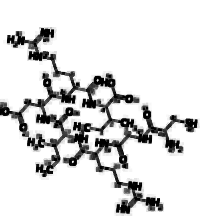 CCC(C)C(NC(=O)C(CCCNC(=N)N)NC(=O)C(CC(=O)O)NC(=O)C(NC(=O)C(CCCNC(=N)N)NC(=O)CNC(=O)C(N)CS)C(C)CC)C(=O)O